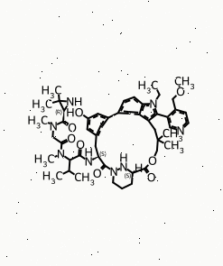 CCn1c(-c2cnccc2COC)c2c3cc(ccc31)-c1cc(O)cc(c1)C[C@H](NC(=O)C(C(C)C)N(C)C(=O)CN(C)C(=O)[C@@H]1NC1(C)C)C(=O)N1CCC[C@H](N1)C(=O)OCC(C)(C)C2